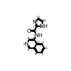 O=C(Nc1cncc2ccccc12)c1ncc[nH]1